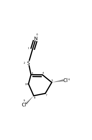 N#CSC1=C[C@H](Cl)C[C@H](Cl)C1